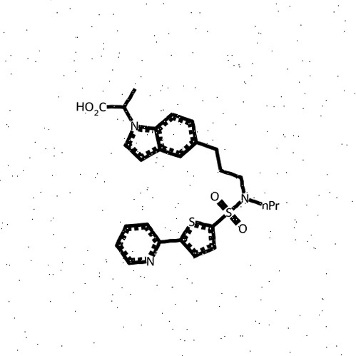 CCCN(CCCc1ccc2c(ccn2C(C)C(=O)O)c1)S(=O)(=O)c1ccc(-c2ccccn2)s1